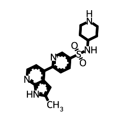 Cc1cc2c(-c3ccc(S(=O)(=O)NC4CCNCC4)cn3)ccnc2[nH]1